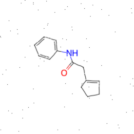 O=C(CC1=CCCC1)Nc1ccccc1